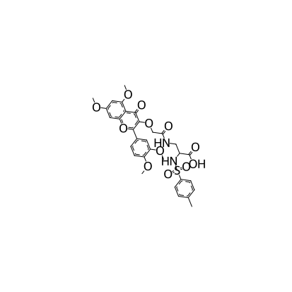 COc1cc(OC)c2c(=O)c(OCC(=O)NCC(NS(=O)(=O)c3ccc(C)cc3)C(=O)O)c(-c3ccc(OC)c(OC)c3)oc2c1